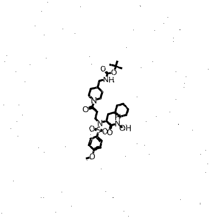 COc1ccc(S(=O)(=O)N(CCC(=O)N2CCC(CNC(=O)OC(C)(C)C)CC2)C(CC2CCCCC2)C(=O)NO)cc1